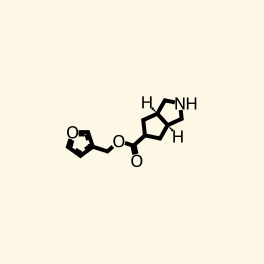 O=C(OCc1ccoc1)C1C[C@H]2CNC[C@H]2C1